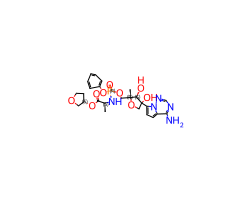 C[C@H](N[P@@](=O)(OC[C@@]1(C)OCC(O)(c2ccc3c(N)ncnn23)[C@@H]1O)Oc1ccccc1)C(=O)O[C@H]1CCOC1